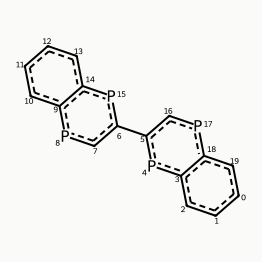 c1ccc2pc(-c3cpc4ccccc4p3)cpc2c1